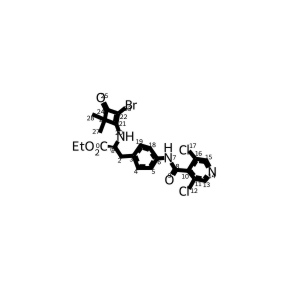 CCOC(=O)[C@H](Cc1ccc(NC(=O)c2c(Cl)cncc2Cl)cc1)NC1=C(Br)C(=O)C1(C)C